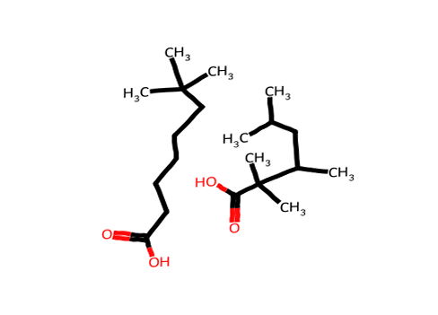 CC(C)(C)CCCCCC(=O)O.CC(C)CC(C)C(C)(C)C(=O)O